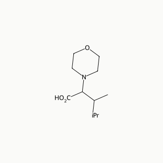 CC(C)C(C)C(C(=O)O)N1CCOCC1